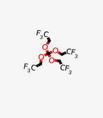 FC(F)(F)COC(OCC(F)(F)F)(OCC(F)(F)F)OCC(F)(F)F